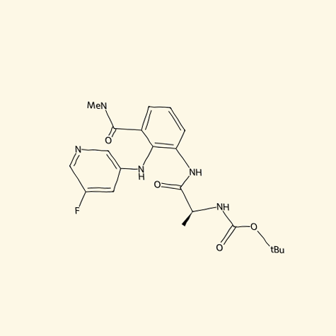 CNC(=O)c1cccc(NC(=O)[C@H](C)NC(=O)OC(C)(C)C)c1Nc1cncc(F)c1